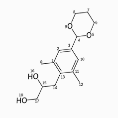 Cc1cc(C2OCCCO2)cc(C)c1CC(O)CO